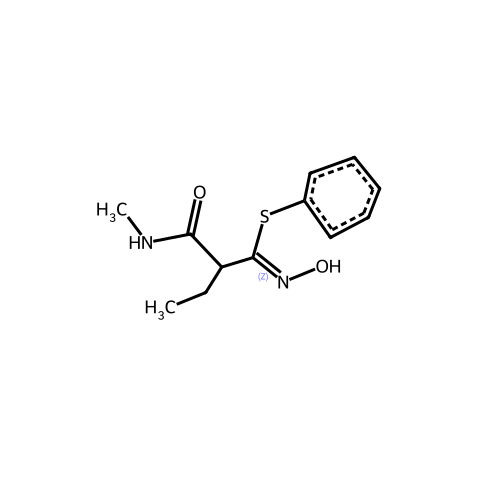 CCC(C(=O)NC)/C(=N/O)Sc1ccccc1